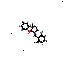 Cc1cccc(C)c1/C=C1\CCC(C)(c2ccccc2)C1=O